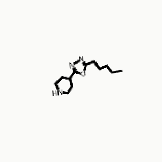 CCCCCc1nnc(C2CCNCC2)o1